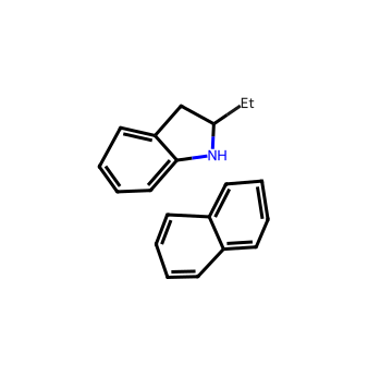 CCC1Cc2ccccc2N1.c1ccc2ccccc2c1